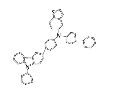 c1ccc(-c2ccc(N(c3ccc(-c4ccc5c(c4)c4ccccc4n5-c4ccccc4)cc3)c3ccc4sccc4c3)cc2)cc1